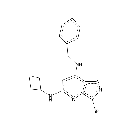 CC(C)c1nnc2c(NCc3ccccc3)cc(NC3CCC3)nn12